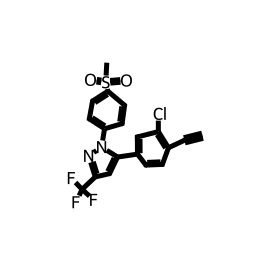 C#Cc1ccc(-c2cc(C(F)(F)F)nn2-c2ccc(S(C)(=O)=O)cc2)cc1Cl